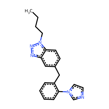 CCCCn1nnc2cc(Cc3ccccc3-n3ccnc3)ccc21